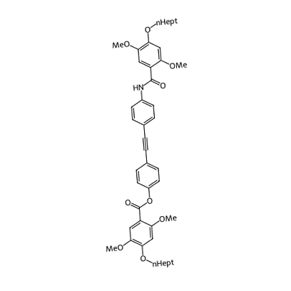 CCCCCCCOc1cc(OC)c(C(=O)Nc2ccc(C#Cc3ccc(OC(=O)c4cc(OC)c(OCCCCCCC)cc4OC)cc3)cc2)cc1OC